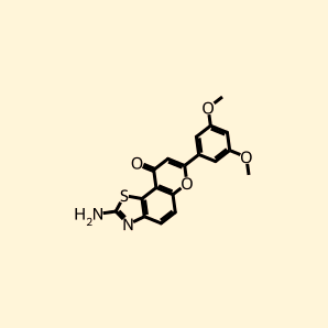 COc1cc(OC)cc(-c2cc(=O)c3c(ccc4nc(N)sc43)o2)c1